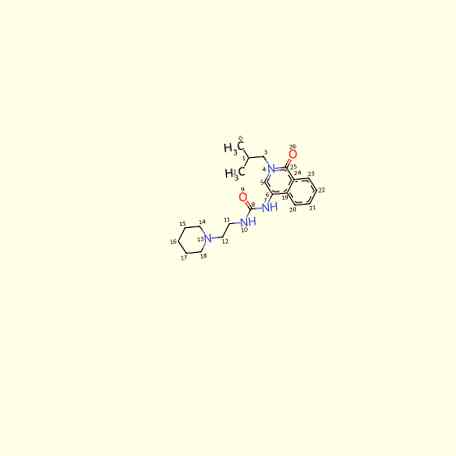 CC(C)Cn1cc(NC(=O)NCCN2CCCCC2)c2ccccc2c1=O